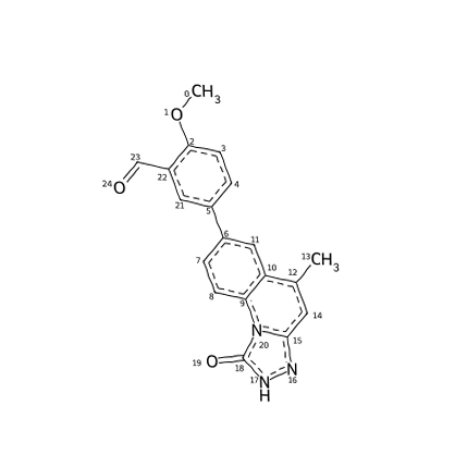 COc1ccc(-c2ccc3c(c2)c(C)cc2n[nH]c(=O)n23)cc1C=O